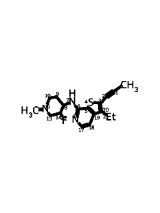 CC#Cc1sc2c(NC3CCN(C)CC3F)nccc2c1CC